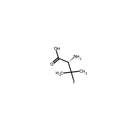 CC(C)(F)[C@@H](N)C(=O)O